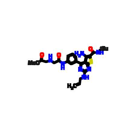 C=CCNc1nc(-c2cccc(NC(=O)CNCC(=O)OC)c2)c2c(N)c(C(=O)NC(C)(C)C)sc2n1